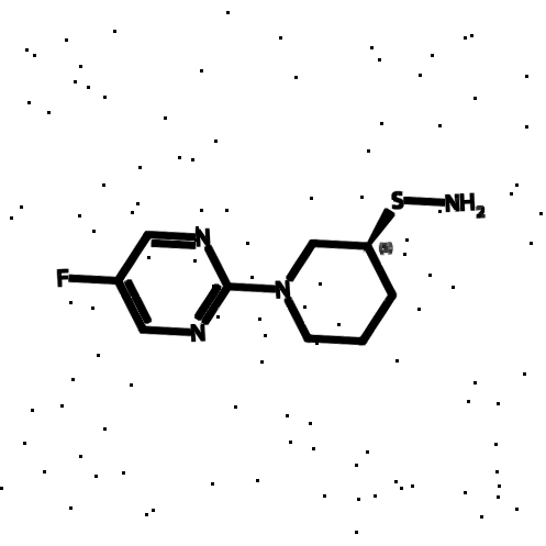 NS[C@H]1CCCN(c2ncc(F)cn2)C1